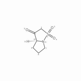 O=C1CS(=O)(=O)N2CCC[C@@H]12